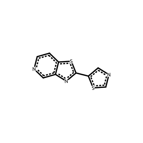 c1cc2sc(-c3cncs3)nc2cn1